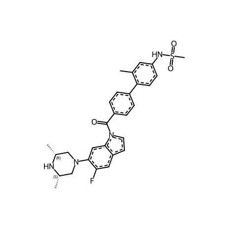 Cc1cc(NS(C)(=O)=O)ccc1-c1ccc(C(=O)n2ccc3cc(F)c(N4C[C@@H](C)N[C@@H](C)C4)cc32)cc1